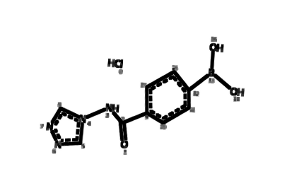 Cl.O=C(Nn1cnnc1)c1ccc(B(O)O)cc1